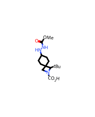 COC(=O)NNC1CCC2(CC1)CN(C(=O)O)C2C(C)(C)C